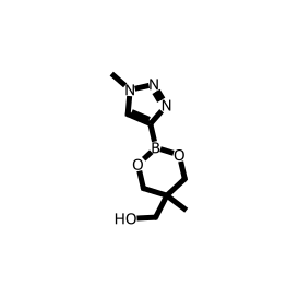 Cn1cc(B2OCC(C)(CO)CO2)nn1